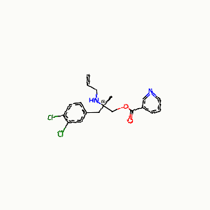 C=CCN[C@](C)(COC(=O)c1cccnc1)Cc1ccc(Cl)c(Cl)c1